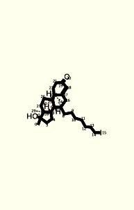 CC1(O)CC[C@H]2[C@@H]3C(CCCCCCCI)CC4=CC(=O)CC[C@]4(C)[C@@H]3CC[C@@]21C